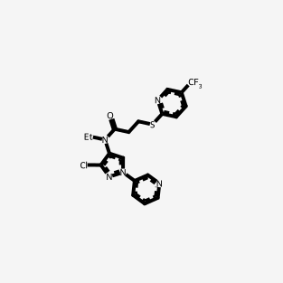 CCN(C(=O)CCSc1ccc(C(F)(F)F)cn1)c1cn(-c2cccnc2)nc1Cl